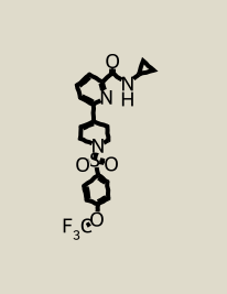 O=C(NC1CC1)c1cccc(C2=CCN(S(=O)(=O)c3ccc(OC(F)(F)F)cc3)CC2)n1